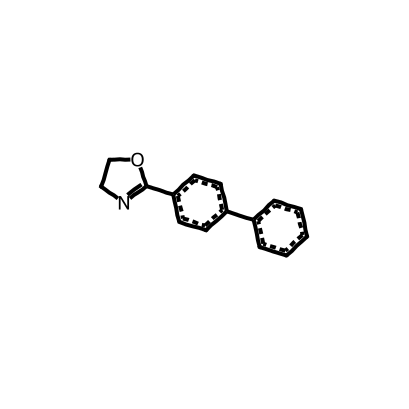 c1ccc(-c2ccc(C3=NCCO3)cc2)cc1